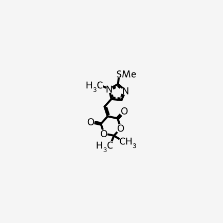 CSc1ncc(C=C2C(=O)OC(C)(C)OC2=O)n1C